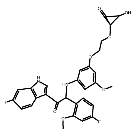 COc1cc(NC(C(=O)c2c[nH]c3cc(F)ccc23)c2ccc(Cl)cc2OC)cc(OCCOC2C(=O)C2O)c1